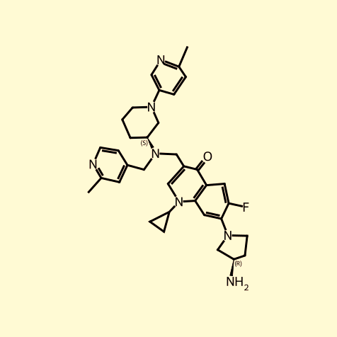 Cc1ccc(N2CCC[C@H](N(Cc3ccnc(C)c3)Cc3cn(C4CC4)c4cc(N5CC[C@@H](N)C5)c(F)cc4c3=O)C2)cn1